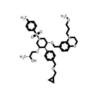 COCCCN1CCOc2ccc(CO[C@H]3CN(S(=O)(=O)c4ccc(C)cc4)C[C@@H](OC[C@@H](C)O)[C@@H]3c3ccc(COCC4CC4)cc3)cc21